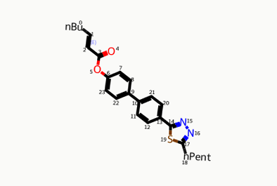 CCCC/C=C/C(=O)Oc1ccc(-c2ccc(-c3nnc(CCCCC)s3)cc2)cc1